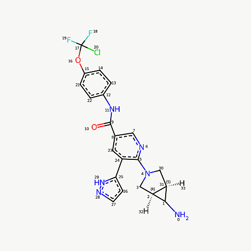 NC1[C@H]2CN(c3ncc(C(=O)Nc4ccc(OC(F)(F)Cl)cc4)cc3-c3ccn[nH]3)C[C@@H]12